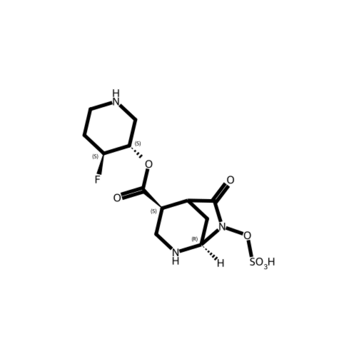 O=C(O[C@H]1CNCC[C@@H]1F)[C@@H]1CN[C@H]2CC1C(=O)N2OS(=O)(=O)O